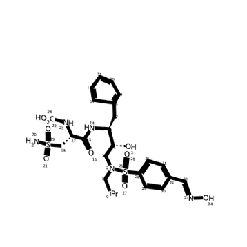 CC(C)CN(C[C@@H](O)[C@H](Cc1ccccc1)NC(=O)[C@H](CS(N)(=O)=O)NC(=O)O)S(=O)(=O)c1ccc(/C=N/O)cc1